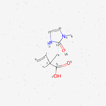 C=CC(C)(C)C(=O)O.Cn1cc[nH]c1=O